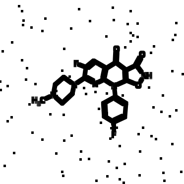 CN1CCN(c2nc3c(cc2F)c(=O)c2c(=O)[nH]oc2n3-c2ccc(F)cc2)CC1